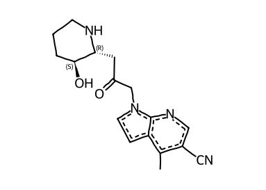 Cc1c(C#N)cnc2c1ccn2CC(=O)C[C@H]1NCCC[C@@H]1O